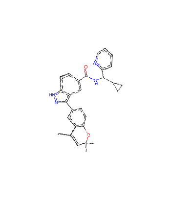 CC1=CC(C)(C)Oc2ccc(-c3n[nH]c4ccc(C(=O)NC(c5ccccn5)C5CC5)cc34)cc21